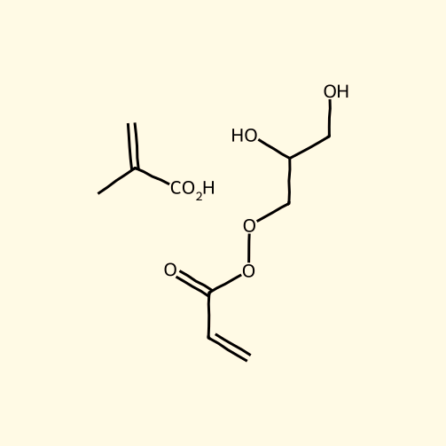 C=C(C)C(=O)O.C=CC(=O)OOCC(O)CO